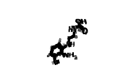 Nc1c(Br)cccc1NCCNC(=O)O